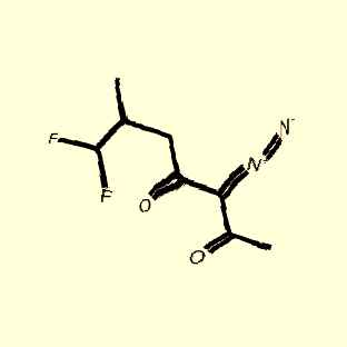 CC(=O)C(=[N+]=[N-])C(=O)CC(C)C(F)F